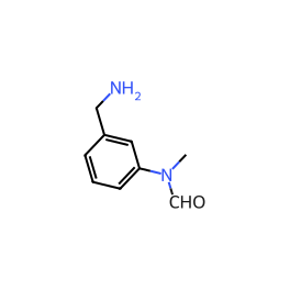 CN(C=O)c1cccc(CN)c1